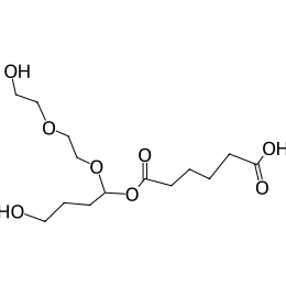 O=C(O)CCCCC(=O)OC(CCCO)OCCOCCO